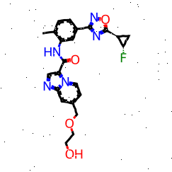 Cc1ccc(-c2noc([C@H]3C[C@@H]3F)n2)cc1NC(=O)c1cnc2cc(COCCO)ccn12